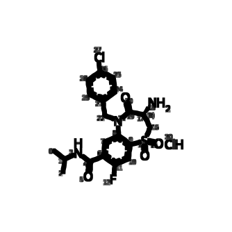 CC(C)NC(=O)c1cc2c(cc1F)S(=O)(=O)C[C@H](N)C(=O)N2Cc1ccc(Cl)cc1.Cl